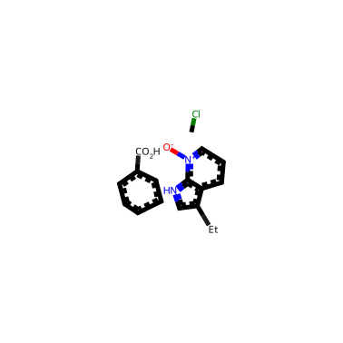 CCc1c[nH]c2c1ccc[n+]2[O-].CCl.O=C(O)c1ccccc1